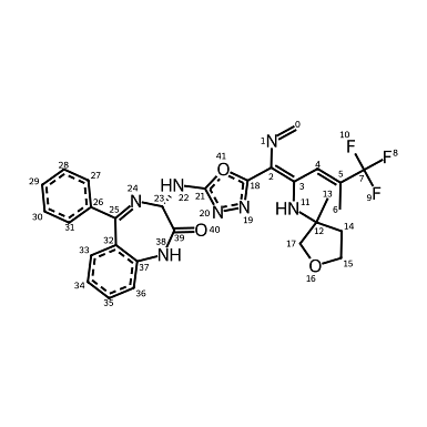 C=N/C(=C(\C=C(/C)C(F)(F)F)NC1(C)CCOC1)c1nnc(N[C@H]2N=C(c3ccccc3)c3ccccc3NC2=O)o1